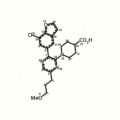 COCCCc1cnc(-c2cc(Cl)c3occc3c2)c(N2CCC(C(=O)O)CC2)n1